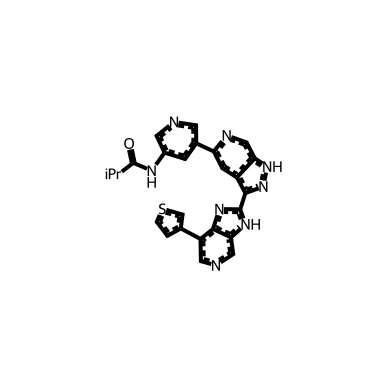 CC(C)C(=O)Nc1cncc(-c2cc3c(-c4nc5c(-c6ccsc6)cncc5[nH]4)n[nH]c3cn2)c1